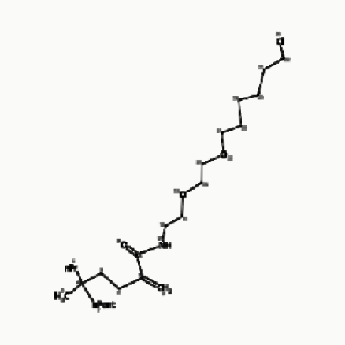 C=C(CCC(C)(CCC)CCCCC)C(=O)NCCOCCOCCCCCCCl